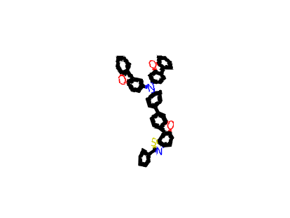 c1ccc(-c2nc3ccc4oc5cc(-c6ccc(N(c7ccc8c(c7)oc7ccccc78)c7ccc8oc9ccccc9c8c7)cc6)ccc5c4c3s2)cc1